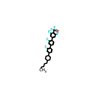 CCCCCC1CCC(c2ccc(-c3ccc(-c4cc(F)c(C(F)(F)Br)c(F)c4)c(F)c3)c(F)c2)CC1